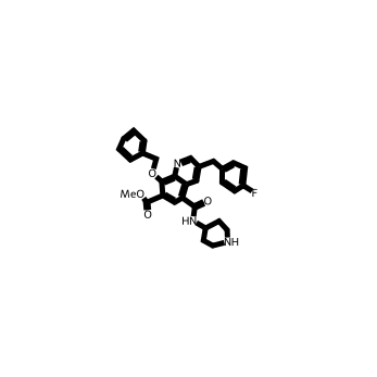 COC(=O)c1cc(C(=O)NC2CCNCC2)c2cc(Cc3ccc(F)cc3)cnc2c1OCc1ccccc1